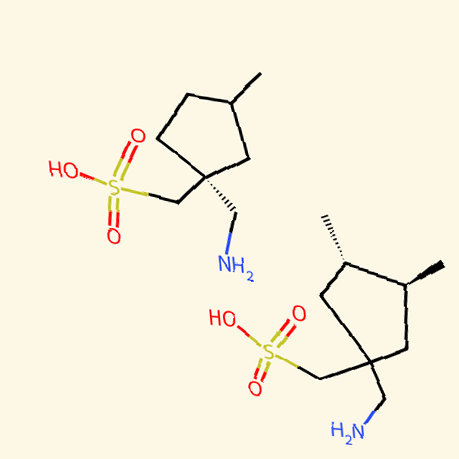 CC1CC[C@](CN)(CS(=O)(=O)O)C1.C[C@H]1CC(CN)(CS(=O)(=O)O)C[C@@H]1C